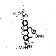 CNS(=O)(=O)Nc1cccc(Cc2c(CN3CC(OC)C3)c3ccc(OC(=O)N(C)C)cc3oc2=O)c1F